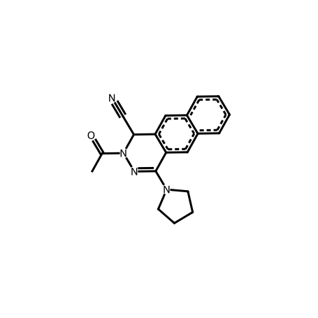 CC(=O)N1N=C(N2CCCC2)c2cc3ccccc3cc2C1C#N